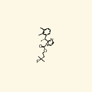 Cc1cccc([C@H](C)c2nccn2C(=O)OCCC(C)(C)F)c1C